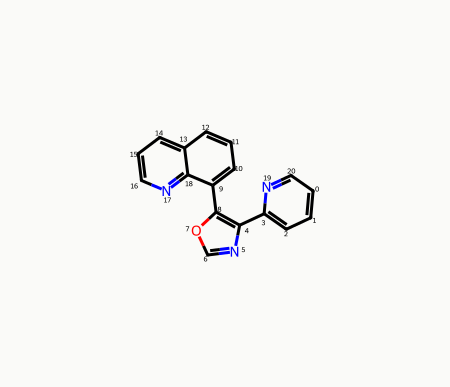 c1ccc(-c2ncoc2-c2cccc3cccnc23)nc1